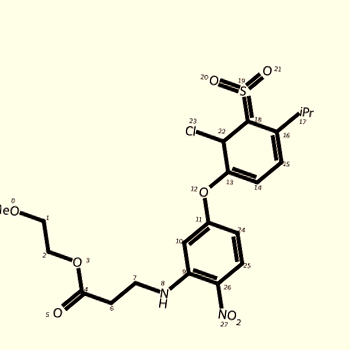 COCCOC(=O)CCNc1cc(OC2=CC=C(C(C)C)C(=S(=O)=O)C2Cl)ccc1[N+](=O)[O-]